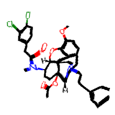 COc1ccc2c3c1O[C@H]1[C@H](N(C)C(=O)Cc4ccc(Cl)c(Cl)c4)CC[C@@]4(OC(C)=O)[C@@H](C2)N(CCc2ccccc2)CC[C@]314